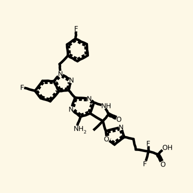 CC1(c2nc(CCC(F)(F)C(=O)O)co2)C(=O)Nc2nc(-c3nn(Cc4cccc(F)c4)c4cc(F)ccc34)nc(N)c21